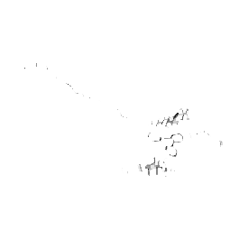 CCCCCCSc1cc2c3cc(SCCCCCC)c(SCCCCCC)cc3c3cc(SCCCCCCCCCCCCCCCCCCO)c(SCCCCCC)cc3c2cc1SCCCCCC